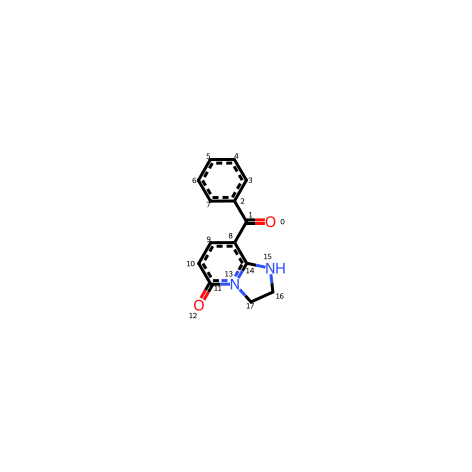 O=C(c1ccccc1)c1ccc(=O)n2c1NCC2